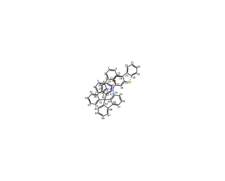 c1ccc(-c2ccccc2N(c2ccc3c(c2)sc2ccccc23)c2cccc3c2C2(c4ccccc4-c4ccccc42)c2ccccc2-3)cc1